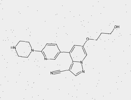 N#Cc1cnn2cc(OCCCO)cc(-c3ccc(N4CCNCC4)nc3)c12